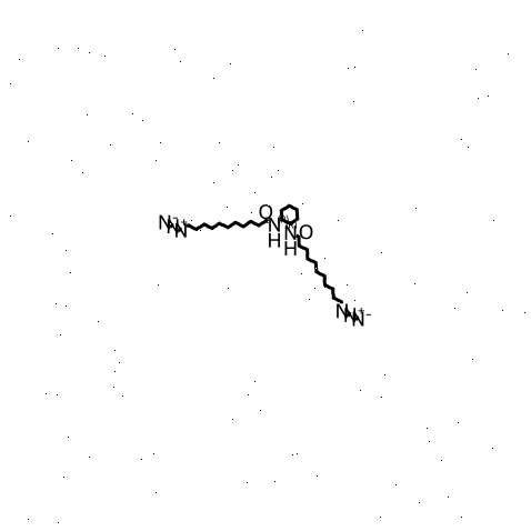 [N-]=[N+]=NCCCCCCCCCCC(=O)N[C@@H]1CCCC[C@H]1NC(=O)CCCCCCCCCCN=[N+]=[N-]